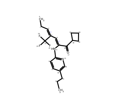 CC/C=C(/C=C(\Nc1ccc(CCC)cn1)C(=O)C1CCC1)C(F)(F)F